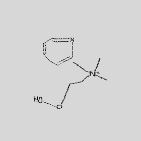 C[N+](C)(C)CCOO.c1ccncc1